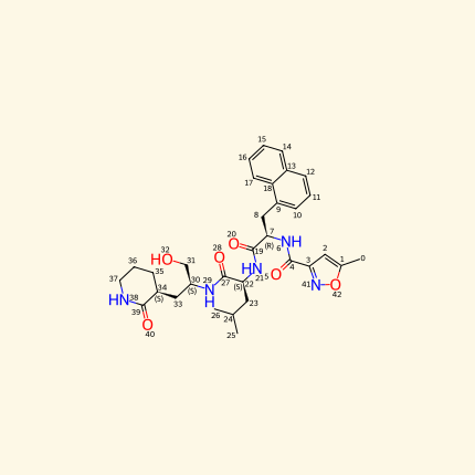 Cc1cc(C(=O)N[C@H](Cc2cccc3ccccc23)C(=O)N[C@@H](CC(C)C)C(=O)N[C@H](CO)C[C@@H]2CCCNC2=O)no1